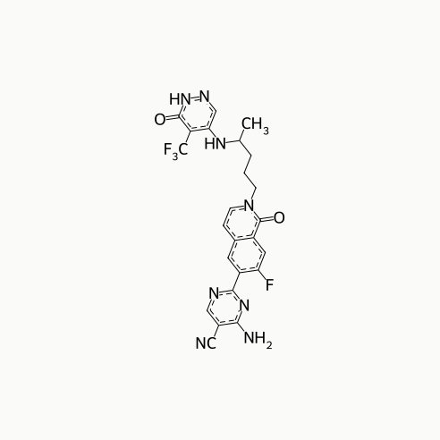 CC(CCCn1ccc2cc(-c3ncc(C#N)c(N)n3)c(F)cc2c1=O)Nc1cn[nH]c(=O)c1C(F)(F)F